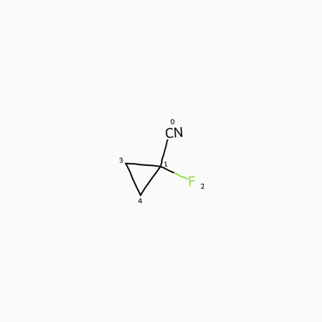 N#CC1(F)CC1